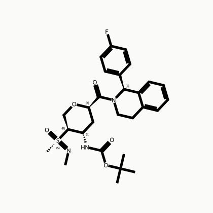 CN=[S@@](C)(=O)[C@H]1CO[C@@H](C(=O)N2CCc3ccccc3[C@@H]2c2ccc(F)cc2)C[C@@H]1NC(=O)OC(C)(C)C